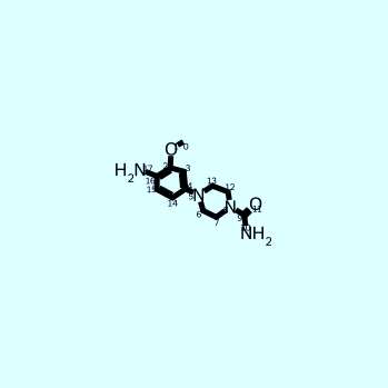 COc1cc(N2CCN(C(N)=O)CC2)ccc1N